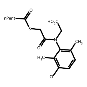 CCCCCC(=O)SCC(=O)N(CC(=O)O)c1c(C)ccc(Cl)c1C